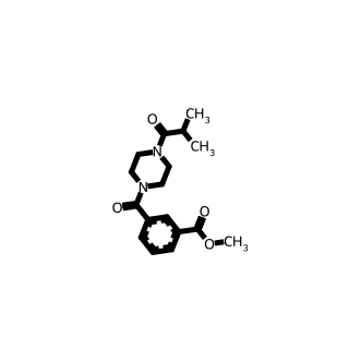 COC(=O)c1cccc(C(=O)N2CCN(C(=O)C(C)C)CC2)c1